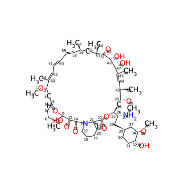 CO[C@H]1C[C@@H]2CC[C@@H](C)[C@@](O)(O2)C(=O)C(=O)N2CCCC[C@H]2C(=O)O[C@H]([C@H](N)C[C@@H]2CC[C@@H](O)[C@H](OC)C2)C[C@@H](OC)[C@H](C)/C=C(\C)[C@@H](O)[C@@H](O)C(=O)[C@H](C)C[C@H](C)/C=C/C=C/C=C/1C